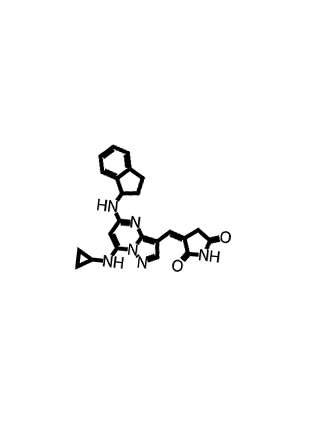 O=C1CC(=Cc2cnn3c(NC4CC4)cc(NC4CCc5ccccc54)nc23)C(=O)N1